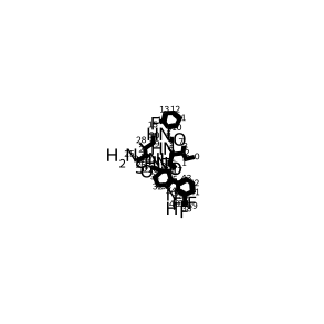 CCC(C)[C@H](NC(=O)Nc1ccccc1F)C(=O)N[C@]1(C(=O)NC(C(N)=S)[C@@H](C)CC)CCc2[nH]c3c(C(F)(F)F)cccc3c2C1